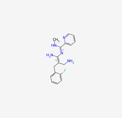 CN/C(=N\C(N)=C(/CN)Cc1ccccc1F)c1ccccn1